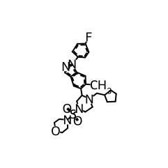 Cc1cc2c(cnn2-c2ccc(F)cc2)cc1C1CN(S(=O)(=O)N2CCOCC2)CCN1CC1CCCC1